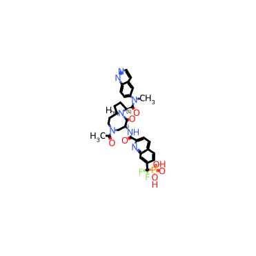 CC(=O)N1CC[C@H]2CC[C@@H](C(=O)N(C)c3ccc4nnccc4c3)N2C(=O)[C@@H](NC(=O)c2ccc3ccc(C(F)(F)P(=O)(O)O)cc3n2)C1